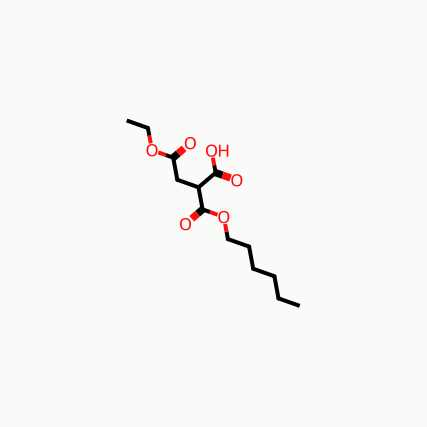 CCCCCCOC(=O)C(CC(=O)OCC)C(=O)O